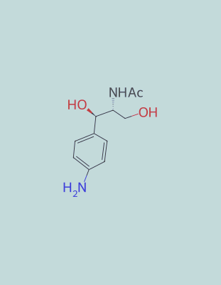 CC(=O)N[C@H](CO)[C@H](O)c1ccc(N)cc1